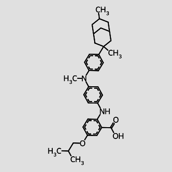 CC(C)COc1ccc(Nc2ccc(N(C)c3ccc(C4(C)CC5CC(C)CC(C5)C4)cc3)cc2)c(C(=O)O)c1